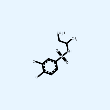 CC(CC(=O)O)NS(=O)(=O)c1ccc(Cl)c(Cl)c1